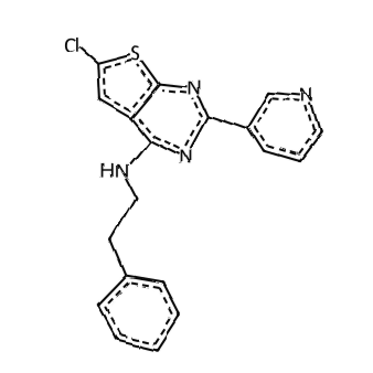 Clc1cc2c(NCCc3ccccc3)nc(-c3cccnc3)nc2s1